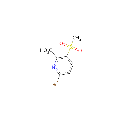 CS(=O)(=O)c1ccc(Br)nc1C(=O)O